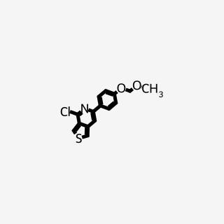 COCOc1ccc(-c2cc3cscc3c(Cl)n2)cc1